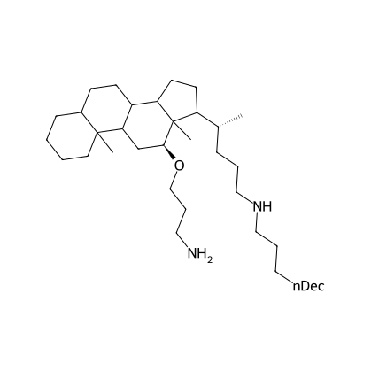 CCCCCCCCCCCCCNCCC[C@@H](C)C1CCC2C3CCC4CCCCC4(C)C3C[C@H](OCCCN)C21C